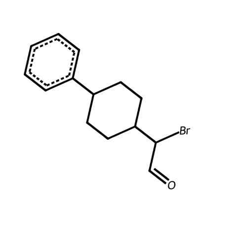 O=CC(Br)C1CCC(c2ccccc2)CC1